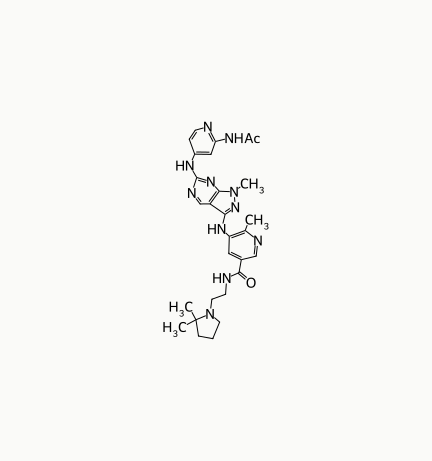 CC(=O)Nc1cc(Nc2ncc3c(Nc4cc(C(=O)NCCN5CCCC5(C)C)cnc4C)nn(C)c3n2)ccn1